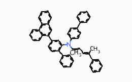 C/C(=C\C=C(/C)N(c1ccc(-c2ccccc2)cc1)c1cc(-c2cc3ccccc3c3ccccc23)ccc1-c1ccccc1)c1ccccc1